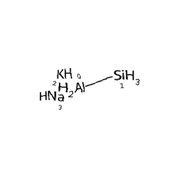 [AlH2][SiH3].[KH].[NaH]